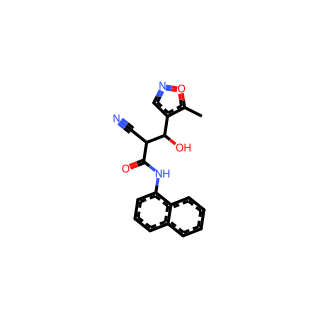 Cc1oncc1C(O)C(C#N)C(=O)Nc1cccc2ccccc12